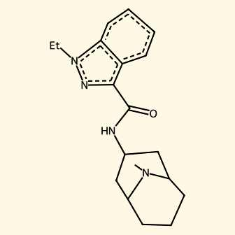 CCn1nc(C(=O)NC2CC3CCCC(C2)N3C)c2ccccc21